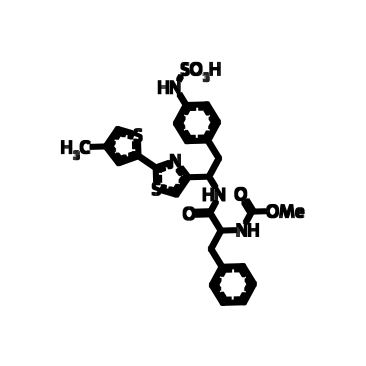 COC(=O)NC(Cc1ccccc1)C(=O)NC(Cc1ccc(NS(=O)(=O)O)cc1)c1csc(-c2cc(C)cs2)n1